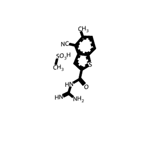 CS(=O)(=O)O.Cc1ccc2sc(C(=O)NC(=N)N)cc2c1C#N